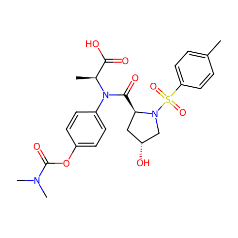 Cc1ccc(S(=O)(=O)N2C[C@H](O)C[C@H]2C(=O)N(c2ccc(OC(=O)N(C)C)cc2)[C@@H](C)C(=O)O)cc1